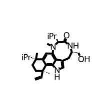 C=C[C@@]1(C)CC[C@](C)(C(C)C)c2cc3c4c(c[nH]c4c21)C[C@@H](CO)NC(=O)[C@H](C(C)C)N3C